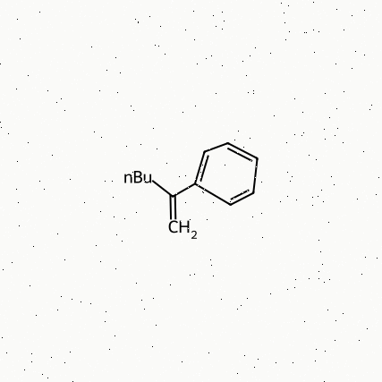 [CH2]CCCC(=C)c1ccccc1